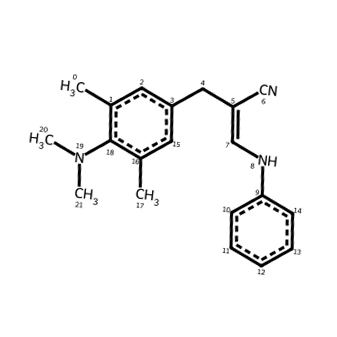 Cc1cc(CC(C#N)=CNc2ccccc2)cc(C)c1N(C)C